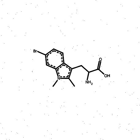 Cc1c(CC(N)C(=O)O)c2ccc(Br)cc2n1C